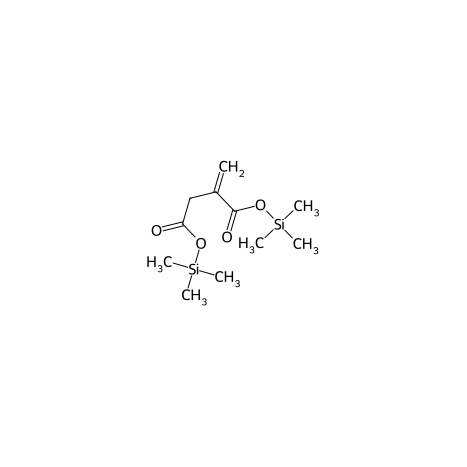 C=C(CC(=O)O[Si](C)(C)C)C(=O)O[Si](C)(C)C